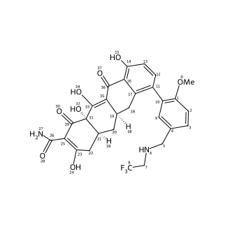 COc1ccc(CNCC(F)(F)F)cc1-c1ccc(O)c2c1C[C@H]1C[C@H]3CC(O)=C(C(N)=O)C(=O)[C@@]3(O)C(O)=C1C2=O